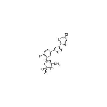 CN=[S@@]1(=O)C[C@@](C)(c2cc(-c3cc(-c4ncc(Cl)cn4)no3)ccc2F)N=C(N)C1(C)C